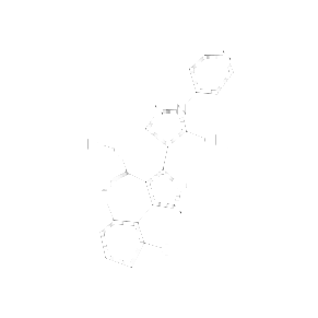 CC(C)OC(=O)c1c(-c2c(F)cccc2Cl)noc1-c1cnn(-c2ccncc2)c1C(F)(F)F